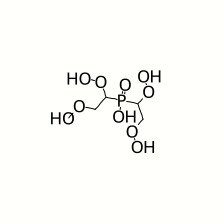 O=P(O)(C(COO)OO)C(COO)OO